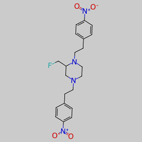 O=[N+]([O-])c1ccc(CCN2CCN(CCc3ccc([N+](=O)[O-])cc3)C(CF)C2)cc1